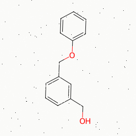 OCc1cccc(COc2ccccc2)c1